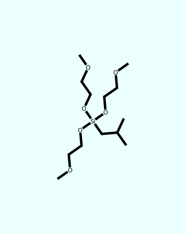 COCCO[Si](CC(C)C)(OCCOC)OCCOC